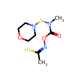 CC(S)=NOC(=O)N(C)SN1CCOCC1